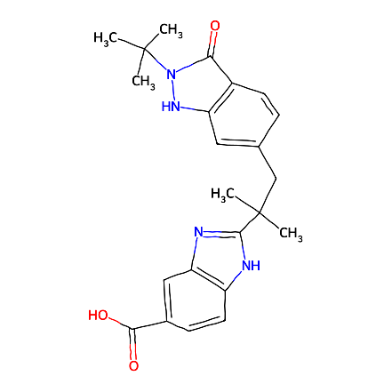 CC(C)(Cc1ccc2c(=O)n(C(C)(C)C)[nH]c2c1)c1nc2cc(C(=O)O)ccc2[nH]1